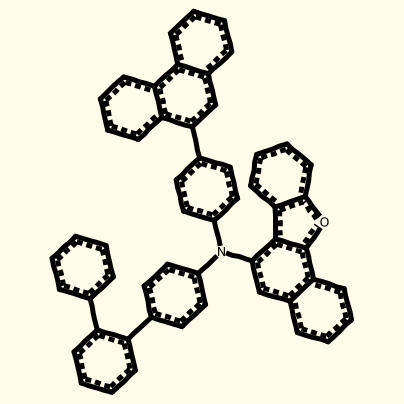 c1ccc(-c2ccccc2-c2ccc(N(c3ccc(-c4cc5ccccc5c5ccccc45)cc3)c3cc4ccccc4c4oc5ccccc5c34)cc2)cc1